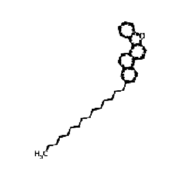 CCCCCCCCCCCCCCCc1ccc2c(ccc3c2ccc2oc4ccccc4c23)c1